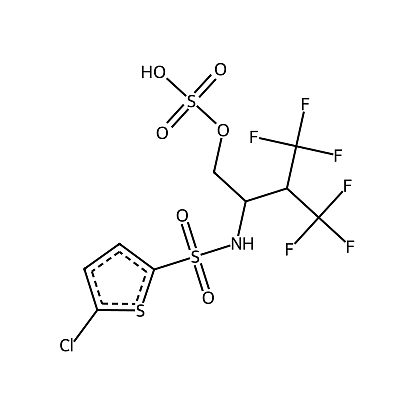 O=S(=O)(O)OCC(NS(=O)(=O)c1ccc(Cl)s1)C(C(F)(F)F)C(F)(F)F